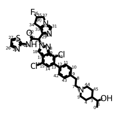 CC(O)C1CCN(CCc2ccc(-c3cc(Cl)c4cn(C(C(=O)Nc5nccs5)c5ncn6c5C[C@@H](F)C6)nc4c3Cl)cc2)CC1